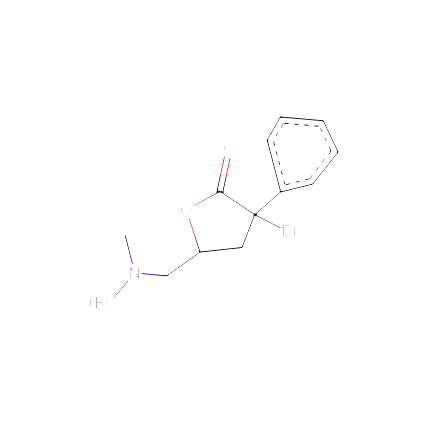 CCC1(c2ccccc2)CC(CN(C)C(C)(C)C)OC1=O